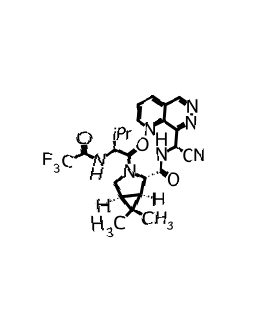 CC(C)[C@H](NC(=O)C(F)(F)F)C(=O)N1C[C@H]2[C@@H]([C@H]1C(=O)N[C@H](C#N)c1nncc3cccnc13)C2(C)C